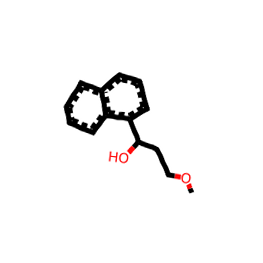 COCCC(O)c1cccc2ccccc12